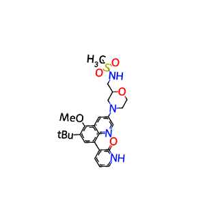 COc1c(C(C)(C)C)cc(-c2ccc[nH]c2=O)c2ncc(N3CCOC(CNS(C)(=O)=O)C3)cc12